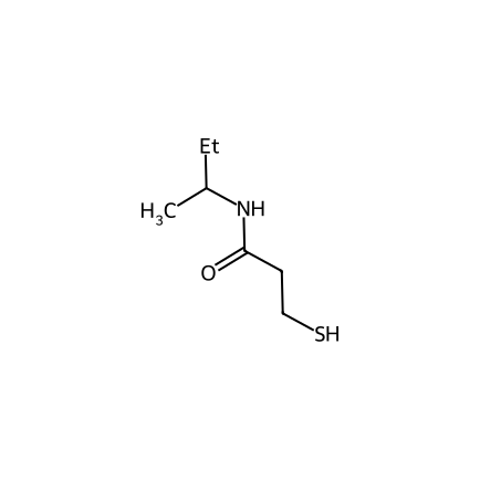 CCC(C)NC(=O)CCS